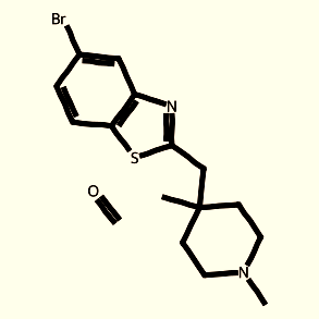 C=O.CN1CCC(C)(Cc2nc3cc(Br)ccc3s2)CC1